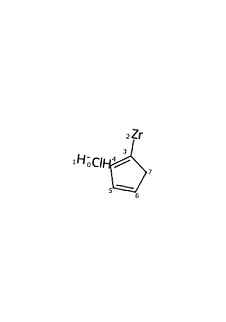 Cl.[H-].[Zr][C]1=CC=CC1